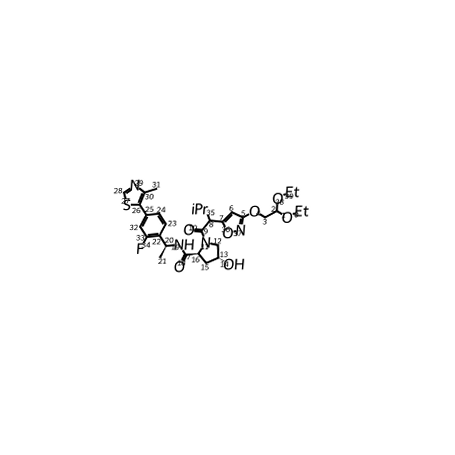 CCOC(COc1cc(C(C(=O)N2C[C@H](O)C[C@H]2C(=O)N[C@@H](C)c2ccc(-c3scnc3C)cc2F)C(C)C)on1)OCC